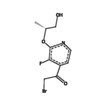 C[C@H](CO)Oc1nccc(C(=O)CBr)c1F